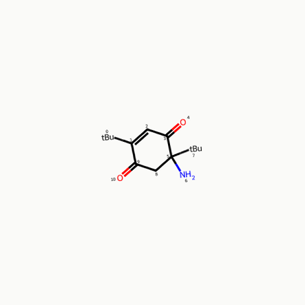 CC(C)(C)C1=CC(=O)C(N)(C(C)(C)C)CC1=O